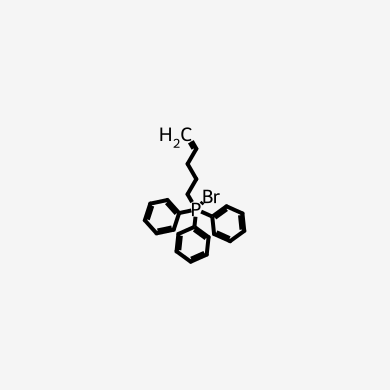 C=CCCCP(Br)(c1ccccc1)(c1ccccc1)c1ccccc1